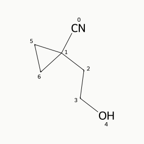 N#CC1(CCO)CC1